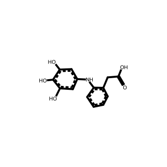 O=C(O)Cc1ccccc1Nc1cc(O)c(O)c(O)c1